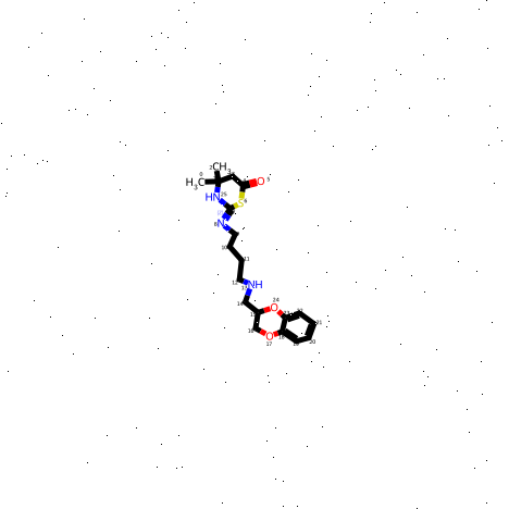 CC1(C)CC(=O)S/C(=N\CCCCNCC2COc3ccccc3O2)N1